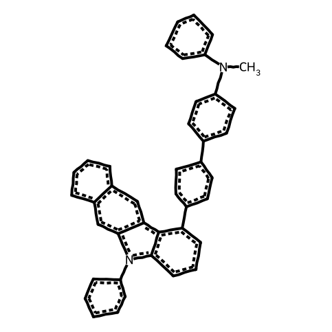 CN(c1ccccc1)c1ccc(-c2ccc(-c3cccc4c3c3cc5ccccc5cc3n4-c3ccccc3)cc2)cc1